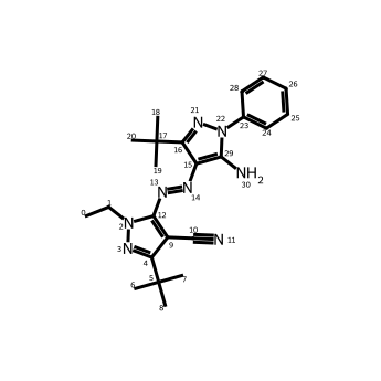 CCn1nc(C(C)(C)C)c(C#N)c1/N=N/c1c(C(C)(C)C)nn(-c2ccccc2)c1N